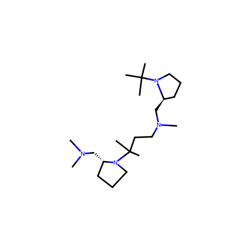 CN(C)C[C@H]1CCCN1C(C)(C)CCN(C)C[C@@H]1CCCN1C(C)(C)C